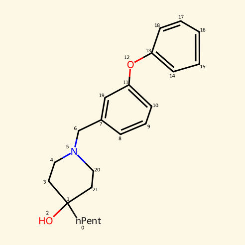 CCCCCC1(O)CCN(Cc2cccc(Oc3ccccc3)c2)CC1